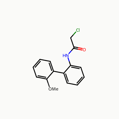 COc1ccccc1-c1ccccc1NC(=O)CCl